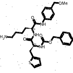 COCc1ccc(NC(=O)[C@H](CCCCN)NC(=O)[C@H](Cc2cccs2)NC(=O)OCc2ccccc2)cc1